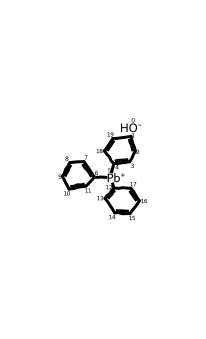 [OH-].c1cc[c]([Pb+]([c]2ccccc2)[c]2ccccc2)cc1